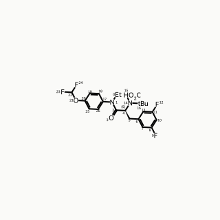 CCN(C(=O)[C@H](Cc1cc(F)cc(F)c1)N(C(=O)O)C(C)(C)C)c1ccc(OC(F)F)cc1